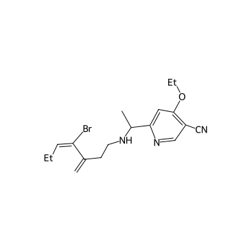 C=C(CCNC(C)c1cc(OCC)c(C#N)cn1)/C(Br)=C\CC